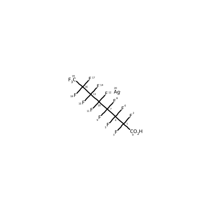 O=C(O)C(F)(F)C(F)(F)C(F)(F)C(F)(F)C(F)(F)C(F)(F)C(F)(F)F.[Ag]